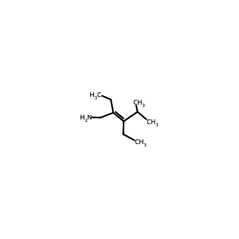 CC/C(CN)=C(/CC)C(C)C